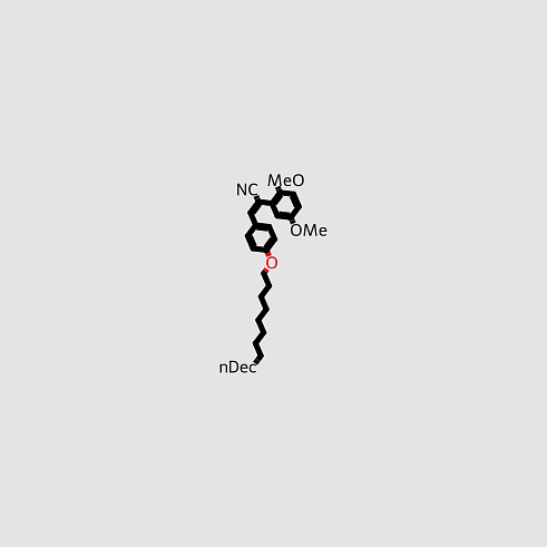 CCCCCCCCCCCCCCCCCCOc1ccc(C=C(C#N)c2cc(OC)ccc2OC)cc1